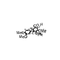 COC1=C(OC)C(C(=O)O)(c2ccc(OC)c(OC)c2)C(C)C(C(=O)O)=C1